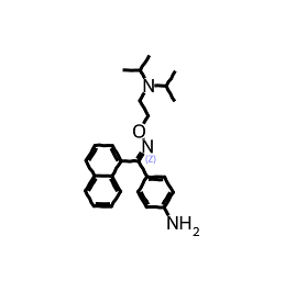 CC(C)N(CCO/N=C(/c1ccc(N)cc1)c1cccc2ccccc12)C(C)C